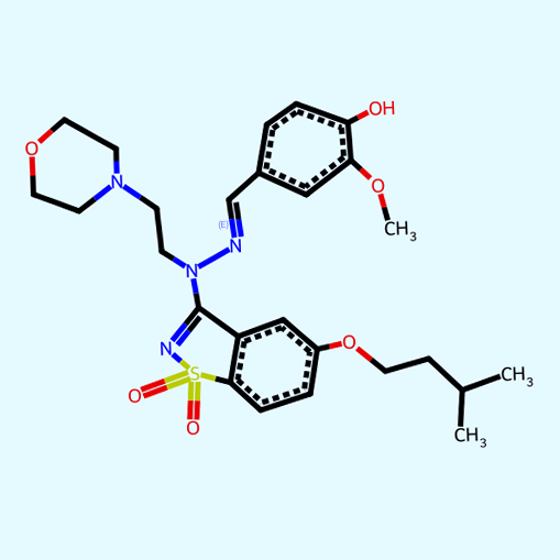 COc1cc(/C=N/N(CCN2CCOCC2)C2=NS(=O)(=O)c3ccc(OCCC(C)C)cc32)ccc1O